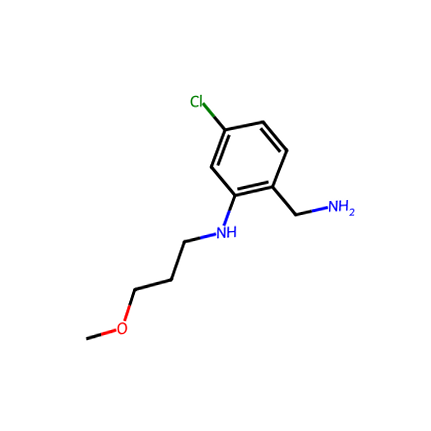 COCCCNc1cc(Cl)ccc1CN